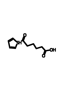 O=C(O)CCCCC(=O)[SH]1C=CC=C1